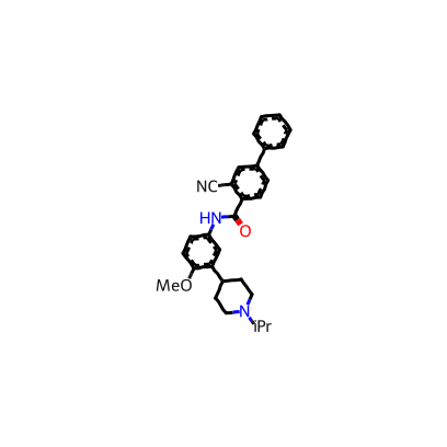 COc1ccc(NC(=O)c2ccc(-c3ccccc3)cc2C#N)cc1C1CCN(C(C)C)CC1